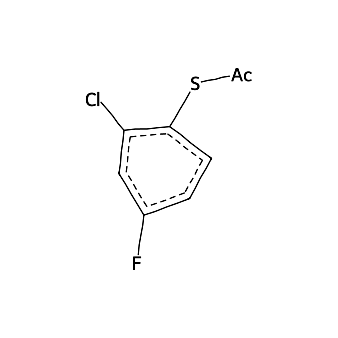 CC(=O)Sc1ccc(F)cc1Cl